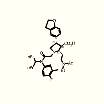 CCCC(CCC)N(C(=O)CN1C[C@H](c2ccc3c(c2)CCO3)[C@@H](C(=O)O)[C@@H]1CCN(CC)C(C)=O)c1ccc(F)c(C)c1